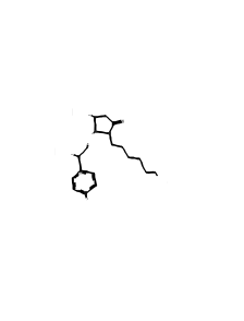 Cc1ccc(C(O)CSC2C(O)CC(=O)C2CCCCCCC(=O)O)cc1